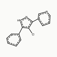 Clc1c(-c2cccnc2)n[nH]c1-c1ccccc1